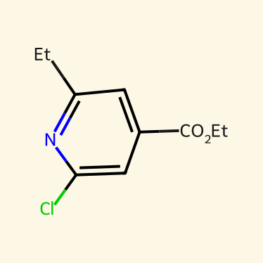 CCOC(=O)c1cc(Cl)nc(CC)c1